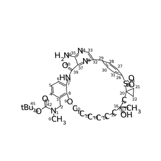 CN(Cc1cccc2c1OCCCCCC[C@@](C)(O)CC1(CC1)S(=O)(=O)c1ccc(cc1)-c1cnc(N)c(n1)C(=O)N2)C(=O)OC(C)(C)C